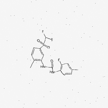 Cc1ccc(NC(=O)Nc2cc(S(=O)(=O)C(F)F)ccc2C)c(F)c1